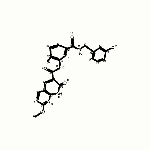 COc1ncc2cc(C(=O)Nc3cc(C(=O)NCc4cccc(Cl)c4)ccc3C)c(=O)[nH]c2n1